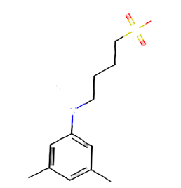 Cc1cc(C)cc(NCCCCS(=O)(=O)O)c1.[NaH]